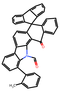 Cc1ccccc1-c1cccc2c3ccc4c(c3n(C=O)c12)C(=O)c1ccccc1C41c2ccccc2-c2ccccc21